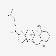 CC(C)CCC[C@@H](C)[C@H]1CC[C@H]2C3=CC[C@@H]4CCCC(O)[C@]4(C)[C@H]3CC[C@]12C